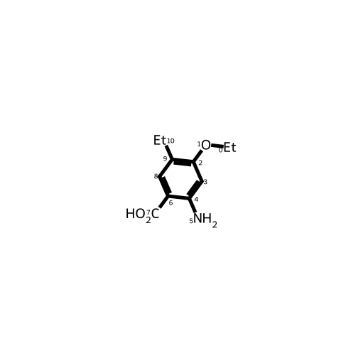 CCOc1cc(N)c(C(=O)O)cc1CC